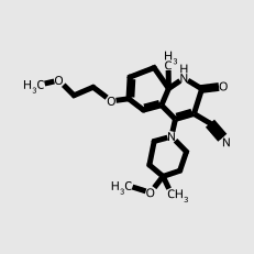 COCCOC1=CCC2(C)NC(=O)C(C#N)=C(N3CCC(C)(OC)CC3)C2=C1